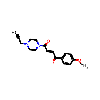 C#CCN1CCN(C(=O)/C=C/C(=O)c2ccc(OC)cc2)CC1